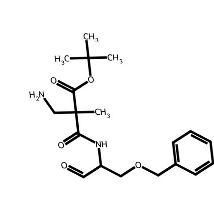 CC(C)(C)OC(=O)C(C)(CN)C(=O)NC(C=O)COCc1ccccc1